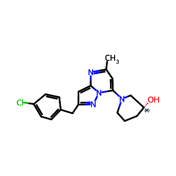 Cc1cc(N2CCC[C@@H](O)C2)n2nc(Cc3ccc(Cl)cc3)cc2n1